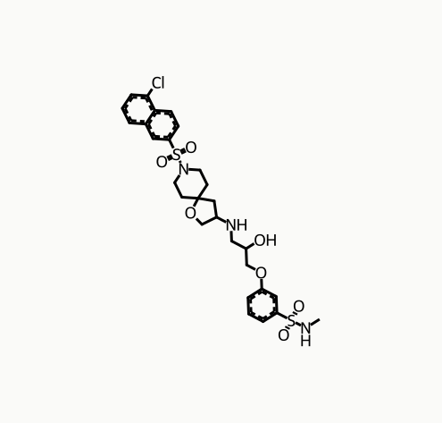 CNS(=O)(=O)c1cccc(OCC(O)CNC2COC3(CCN(S(=O)(=O)c4ccc5c(Cl)cccc5c4)CC3)C2)c1